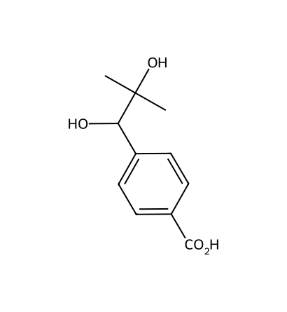 CC(C)(O)C(O)c1ccc(C(=O)O)cc1